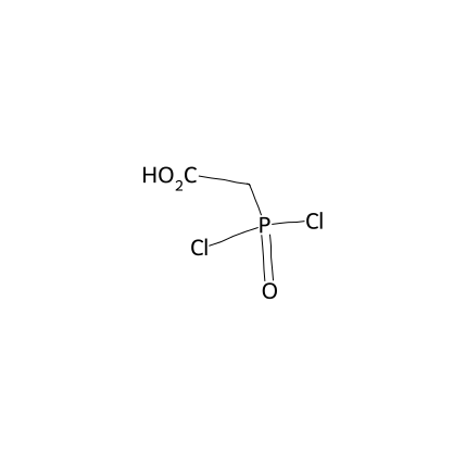 O=C(O)CP(=O)(Cl)Cl